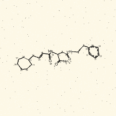 NC(=O)C(CC(=O)NCCc1ccccc1)NC(=O)/C=C/CC1CCCCCC1